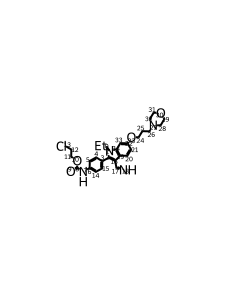 CCn1c(-c2ccc(NC(=O)OCCCl)cc2)c(C=N)c2ccc(OCCCN3CCOCC3)cc21